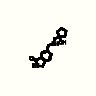 O=C1NCc2ccc(CNCC3(O)CCCC3)cc21